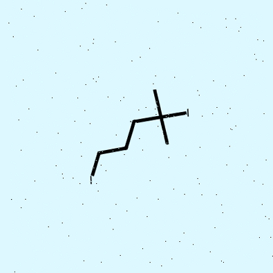 CC(C)(I)[CH]CCI